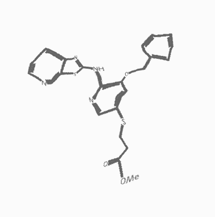 COC(=O)CCSc1cnc(Nc2nc3cccnc3s2)c(OCc2ccccc2)c1